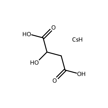 O=C(O)CC(O)C(=O)O.[CsH]